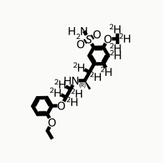 [2H]c1c(C([2H])([2H])[C@@H](C)NC([2H])([2H])C([2H])([2H])Oc2ccccc2OCC)cc(S(N)(=O)=O)c(OC([2H])([2H])[2H])c1[2H]